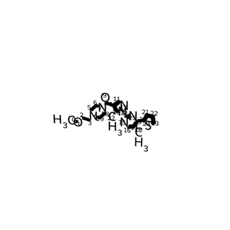 COCCN1CCN(C(=O)c2cnn(-c3ncc(C)c(-c4cccs4)n3)c2C)CC1